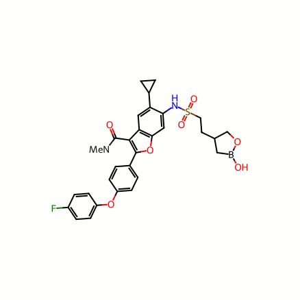 CNC(=O)c1c(-c2ccc(Oc3ccc(F)cc3)cc2)oc2cc(NS(=O)(=O)CCC3COB(O)C3)c(C3CC3)cc12